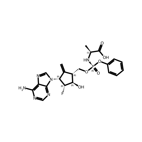 C=C1[C@@H](n2cnc3c(N)ncnc32)[C@@H](F)[C@H](O)[C@H]1CO[P@](=O)(N[C@@H](C)C(=O)O)Oc1ccccc1